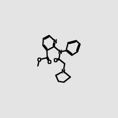 COC(=O)c1cccnc1N(C(=O)CN1CCCC1)c1ccccc1